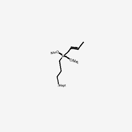 CC=C[Si](CCCCCCCCCC)(OC)OC